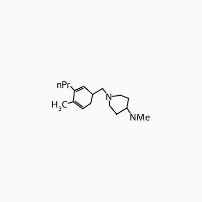 CCCC1=CC(CN2CCC(NC)CC2)CC=C1C